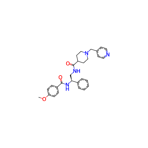 COc1ccc(C(=O)N[C@@H](CNC(=O)C2CCN(Cc3ccncc3)CC2)c2ccccc2)cc1